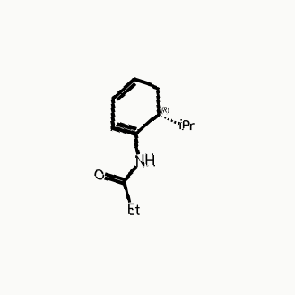 CCC(=O)NC1=CC=CC[C@@H]1C(C)C